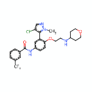 Cn1ncc(Cl)c1-c1cc(NC(=O)c2cccc(C(F)(F)F)c2)ccc1OCCNC1CCOCC1